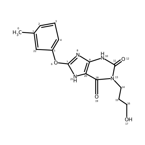 Cc1cccc(Oc2nc3[nH]c(=O)n(CCCO)c(=O)c3[nH]2)c1